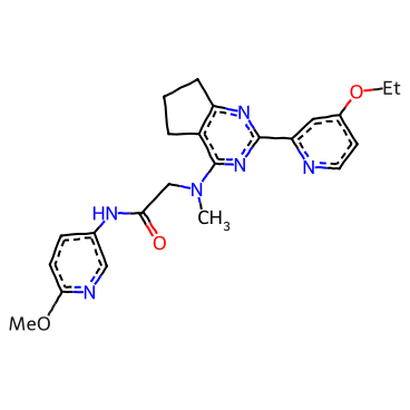 CCOc1ccnc(-c2nc3c(c(N(C)CC(=O)Nc4ccc(OC)nc4)n2)CCC3)c1